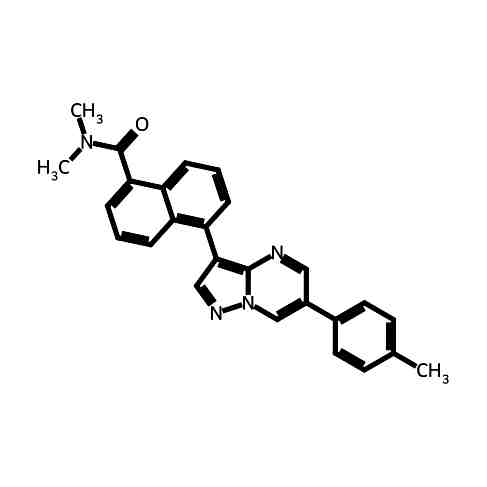 Cc1ccc(-c2cnc3c(-c4cccc5c(C(=O)N(C)C)cccc45)cnn3c2)cc1